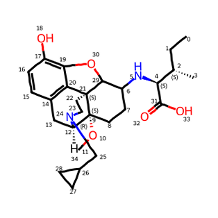 CC[C@H](C)[C@H](NC1CC[C@@]2(OC)[C@H]3Cc4ccc(O)c5c4[C@@]2(CCN3CC2CC2)C1O5)C(=O)O